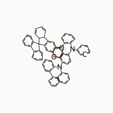 C1=CC2c3cc4c(cc3C3(c5ccccc5-c5ccccc53)C2C=C1)Oc1c(N(c2ccccc2)c2ccccc2-c2ccccc2)ccc(N(c2ccccc2)c2ccccc2C2=CCCC=C2)c1O4